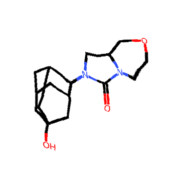 O=C1N2CCOCC2CN1C1C2CC3CC1CC(O)(C3)C2